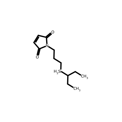 CCC(CC)[SiH2]CCCN1C(=O)C=CC1=O